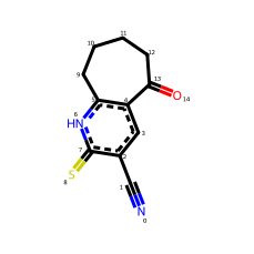 N#Cc1cc2c([nH]c1=S)CCCCC2=O